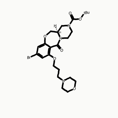 CC(C)(C)OC(=O)N1CCN2C(=O)c3c(OCCCN4CCOCC4)cc(Br)cc3OC[C@H]2C1